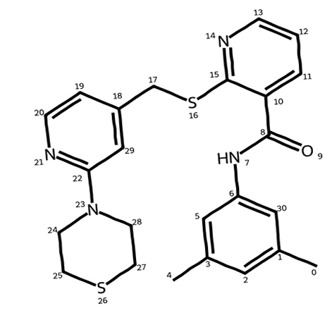 Cc1cc(C)cc(NC(=O)c2cccnc2SCc2ccnc(N3CCSCC3)c2)c1